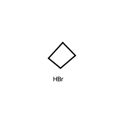 Br.C1CCC1